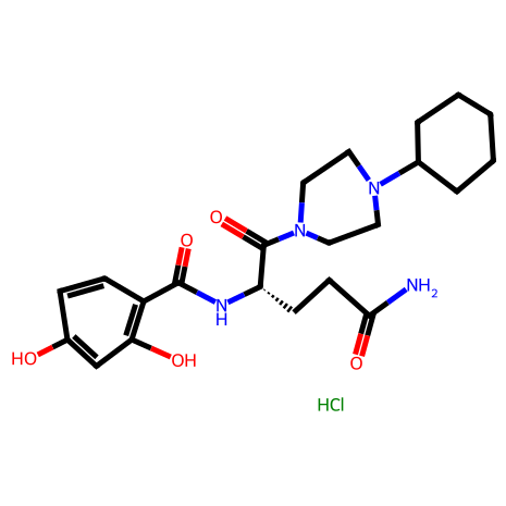 Cl.NC(=O)CC[C@H](NC(=O)c1ccc(O)cc1O)C(=O)N1CCN(C2CCCCC2)CC1